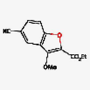 CCOC(=O)c1oc2ccc(C#N)cc2c1OC